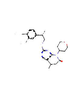 COc1ccc(C(C)CNc2ncc3c(n2)N(C2CCOCC2)C(=O)CC3C)cc1OC